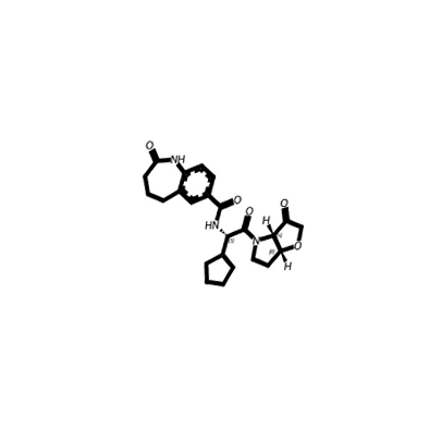 O=C1CCCc2cc(C(=O)N[C@H](C(=O)N3CC[C@H]4OCC(=O)[C@H]43)C3CCCC3)ccc2N1